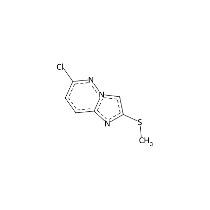 CSc1cn2nc(Cl)ccc2n1